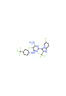 Nc1nc(-c2c(C(F)(F)F)nc3ccc(F)cn23)nc(Nc2ccc(C(F)(F)F)cc2)c1F